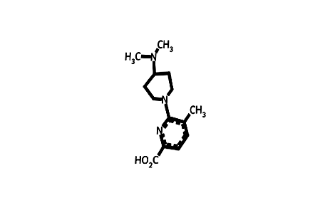 Cc1ccc(C(=O)O)nc1N1CCC(N(C)C)CC1